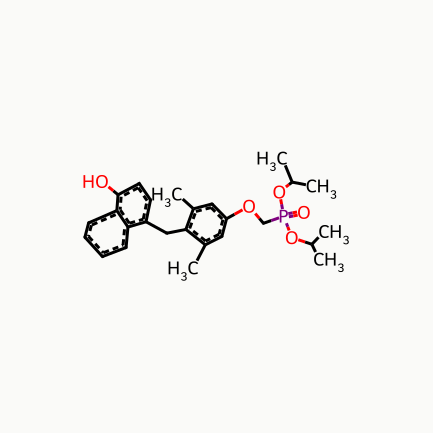 Cc1cc(OCP(=O)(OC(C)C)OC(C)C)cc(C)c1Cc1ccc(O)c2ccccc12